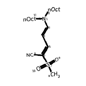 CCCCCCCCN(/C=C/C=C(\C#N)S(C)(=O)=O)CCCCCCCC